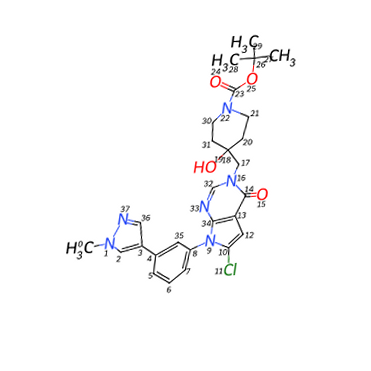 Cn1cc(-c2cccc(-n3c(Cl)cc4c(=O)n(CC5(O)CCN(C(=O)OC(C)(C)C)CC5)cnc43)c2)cn1